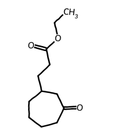 CCOC(=O)CCC1CCCCC(=O)C1